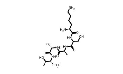 CC(C)[C@H](NC(=O)[C@H](C)NC(=O)[C@H](CO)NC(=O)[C@@H](N)CCCCN)C(=O)N[C@H](C(=O)O)[C@@H](C)O